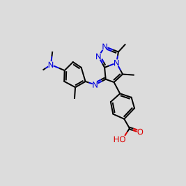 CC1=C(c2ccc(C(=O)O)cc2)C(=Nc2ccc(N(C)C)cc2C)c2nnc(C)n21